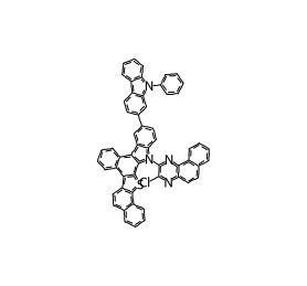 Clc1nc2ccc3ccccc3c2nc1-n1c2ccc(-c3ccc4c5ccccc5n(-c5ccccc5)c4c3)cc2c2c3ccccc3c3c4ccc5ccccc5c4sc3c21